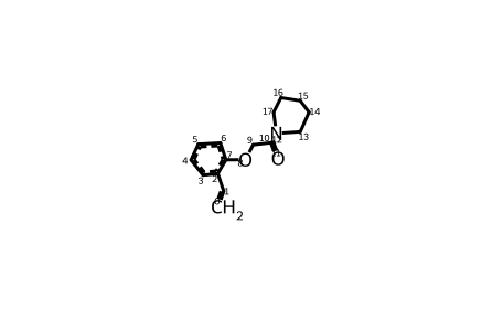 C=Cc1ccccc1OCC(=O)N1CCCCC1